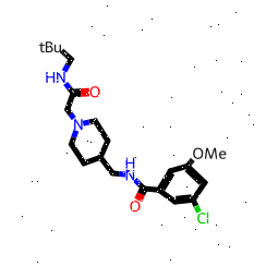 COc1cc(Cl)cc(C(=O)NCC2CCN(CC(=O)NCC(C)(C)C)CC2)c1